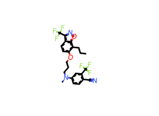 CCCc1c(OCCCN(C)c2ccc(C#N)c(C(F)(F)F)c2)ccc2c(C(F)(F)F)noc12